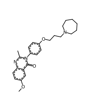 COc1ccc2nc(C)n(-c3ccc(OCCCN4CCCCCC4)cc3)c(=O)c2c1